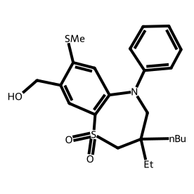 CCCCC1(CC)CN(c2ccccc2)c2cc(SC)c(CO)cc2S(=O)(=O)C1